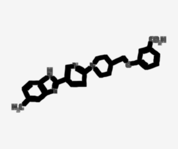 Cc1ccc2[nH]c(-c3ccc(N4CCC(COc5cccc(C(=O)O)c5)CC4)nc3)nc2c1